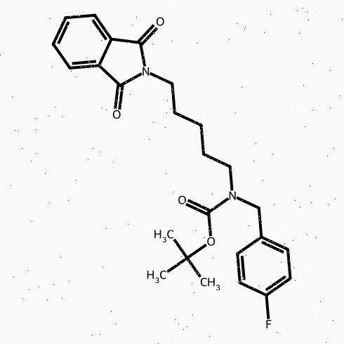 CC(C)(C)OC(=O)N(CCCCCN1C(=O)c2ccccc2C1=O)Cc1ccc(F)cc1